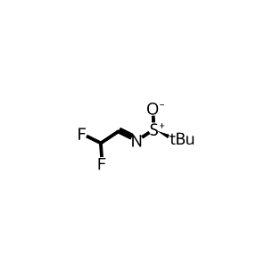 CC(C)(C)[S@+]([O-])/N=C/C(F)F